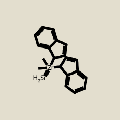 [CH3][Zr]([CH3])(=[SiH2])([CH]1C=Cc2ccccc21)[CH]1C=Cc2ccccc21